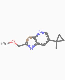 CC(C)(C)OCc1nc2cc(C3(C)CC3)cnc2s1